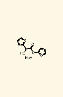 O=C(Oc1cccs1)C(O)c1cccs1.[NaH]